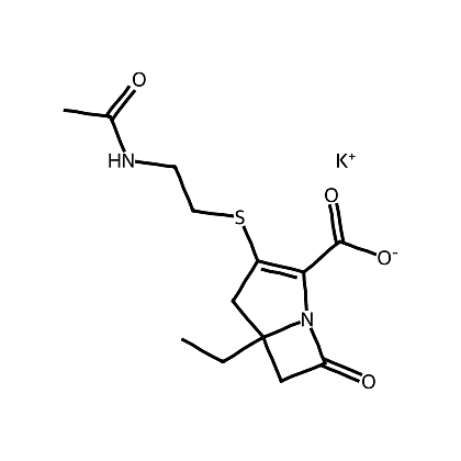 CCC12CC(=O)N1C(C(=O)[O-])=C(SCCNC(C)=O)C2.[K+]